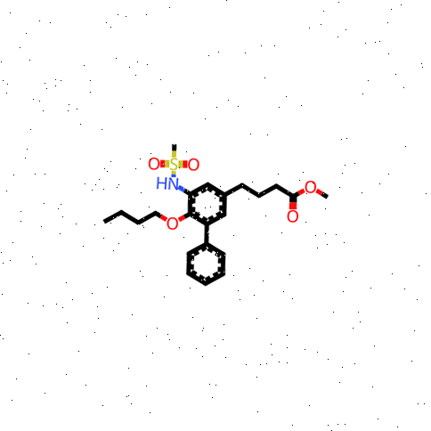 CCCCOc1c(NS(C)(=O)=O)cc(CCCC(=O)OC)cc1-c1ccccc1